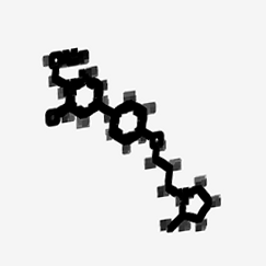 COCn1ncc(-c2ccc(OCCCN3CCCC3C)cc2)cc1=O